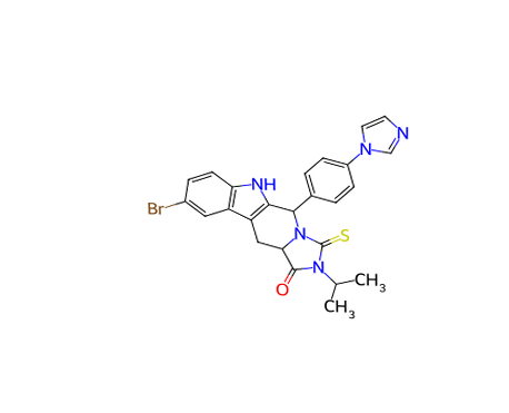 CC(C)N1C(=O)C2Cc3c([nH]c4ccc(Br)cc34)C(c3ccc(-n4ccnc4)cc3)N2C1=S